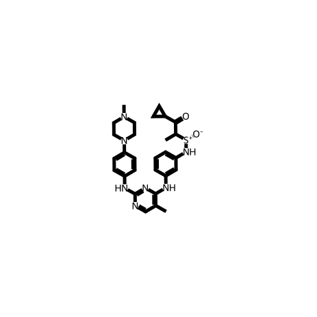 Cc1cnc(Nc2ccc(N3CCN(C)CC3)cc2)nc1Nc1cccc(N[S+]([O-])C(C)C(=O)C2CC2)c1